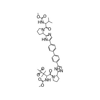 COC(=O)NC(C(=O)N1CCCC1c1ncc(-c2ccc(-c3ccc(-c4cnc(C5CCCN5C(=O)C(NC(=O)OC)C(C)(C)S(C)(=O)=O)[nH]4)cc3)cc2)[nH]1)C(C)C